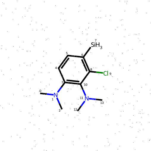 CN(C)c1ccc([SiH3])c(Cl)c1N(C)C